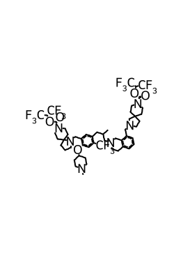 CC(Cc1cc(CN2CCCC23CCN(C(=O)OC(C(F)(F)F)C(F)(F)F)CC3)c(OC2CCN(C)CC2)cc1C(F)(F)F)CN1CCc2cccc(CN3CCC4(CCN(C(=O)OC(C(F)(F)F)C(F)(F)F)CC4)C3)c2C1